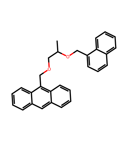 CC(COCc1c2ccccc2cc2ccccc12)OCc1cccc2ccccc12